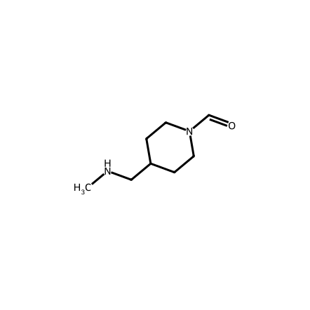 CNCC1CCN(C=O)CC1